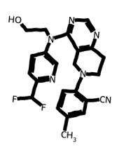 Cc1ccc(N2CCc3ncnc(N(CCO)c4ccc(C(F)F)nc4)c3C2)c(C#N)c1